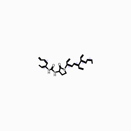 C=C/C=C\C(=C/C)NC(=O)NC1CCN(/C(C=C)=C/C=C(C=C)/C(C=C)=C/C=C\C)C1=O